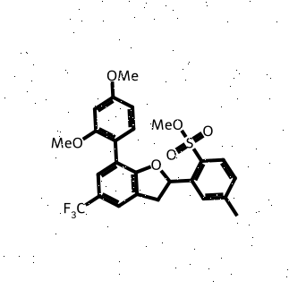 COc1ccc(-c2cc(C(F)(F)F)cc3c2OC(c2cc(C)ccc2S(=O)(=O)OC)C3)c(OC)c1